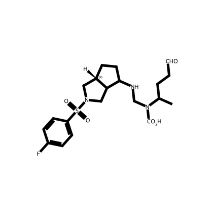 CC(CCC=O)N(CNC1CC[C@H]2CN(S(=O)(=O)c3ccc(F)cc3)CC12)C(=O)O